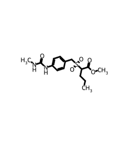 CCCC(C(=O)OC)S(=O)(=O)Cc1ccc(NC(=O)NC)cc1